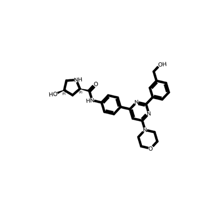 O=C(Nc1ccc(-c2cc(N3CCOCC3)nc(-c3cccc(CO)c3)n2)cc1)[C@H]1C[C@@H](O)CN1